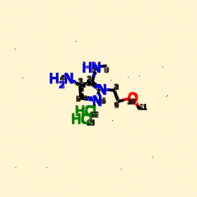 CNc1c(N)cnn1CCOC.Cl.Cl